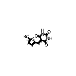 O=C1NC(=O)C(=Cc2ccc(Br)s2)C(=O)N1